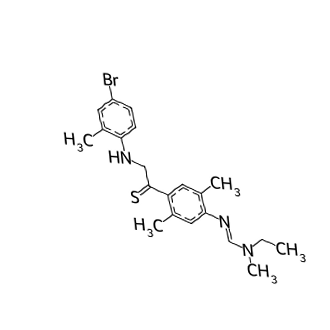 CCN(C)C=Nc1cc(C)c(C(=S)CNc2ccc(Br)cc2C)cc1C